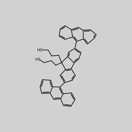 SCCCC1(CCCS)c2cc(-c3c4ccccc4cc4ccccc34)ccc2-c2ccc(-c3c4ccccc4cc4ccccc34)cc21